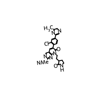 CNc1ncc2cc(-c3ccc(-c4cncc(C)n4)cc3Cl)c(=O)n(CCC3CCNC3=O)c2n1